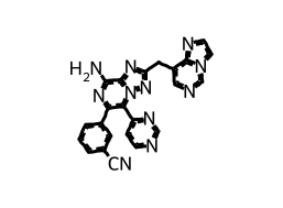 N#Cc1cccc(-c2nc(N)c3nc(Cc4cncn5ccnc45)nn3c2-c2ccncn2)c1